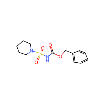 O=C(NS(=O)(=O)N1CCCCC1)OCc1ccccc1